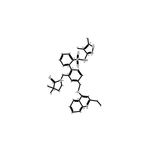 CCc1cc(OCc2ccc(-c3ccccc3S(=O)(=O)Nc3noc(C)c3C)c(CN3CCC(C)(C)C3=O)c2)c2ccccc2n1